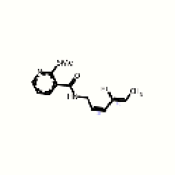 C/C=C(/C=C\CNC(=O)c1cccnc1SC)CC